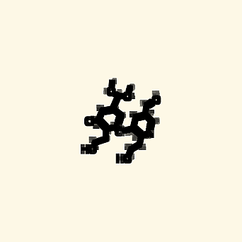 COC(OC)c1cnc(CCO)c(Cl)c1.O=Cc1cnc(CCO)c(Cl)c1